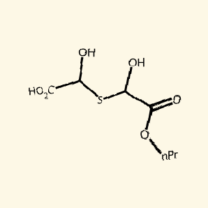 CCCOC(=O)C(O)SC(O)C(=O)O